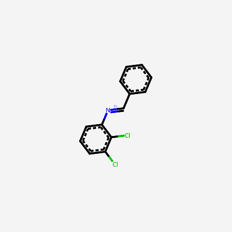 Clc1cccc(/N=C/c2ccccc2)c1Cl